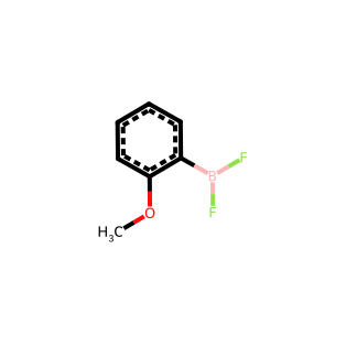 COc1ccccc1B(F)F